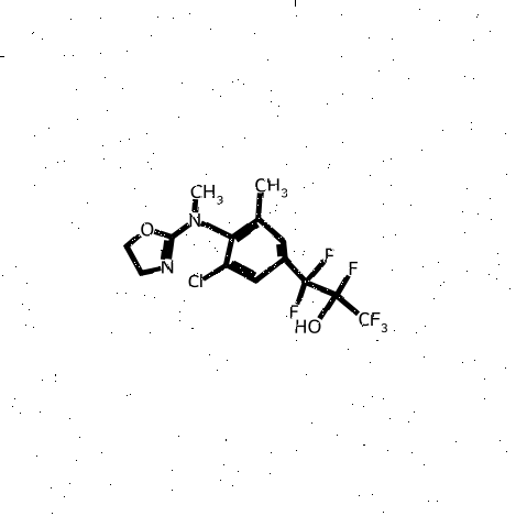 Cc1cc(C(F)(F)C(O)(F)C(F)(F)F)cc(Cl)c1N(C)C1=NCCO1